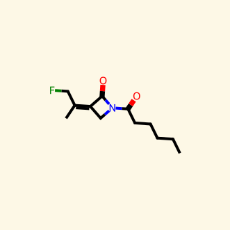 CCCCCC(=O)N1C/C(=C(\C)CF)C1=O